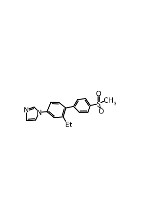 CCc1cc(-n2ccnc2)ccc1-c1ccc(S(C)(=O)=O)cc1